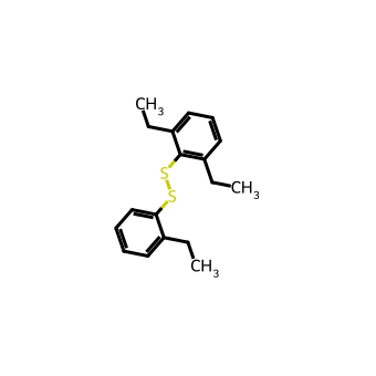 CCc1ccccc1SSc1c(CC)cccc1CC